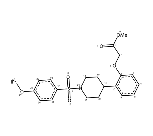 COC(=O)COc1ccccc1C1CCN(S(=O)(=O)c2ccc(OC(C)C)cc2)CC1